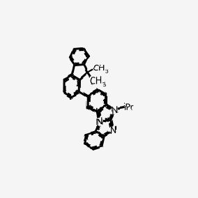 CC(C)n1c2ccc(-c3cccc4c3C(C)(C)c3ccccc3-4)cc2n2c3ccccc3nc12